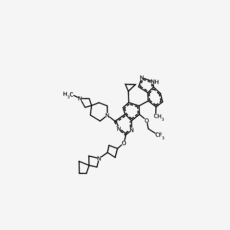 Cc1ccc2[nH]ncc2c1-c1c(C2CC2)cc2c(N3CCC4(CC3)CN(C)C4)nc(OC3CC(N4CC5(CCC5)C4)C3)nc2c1OCC(F)(F)F